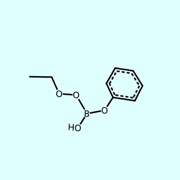 CCOOB(O)Oc1ccccc1